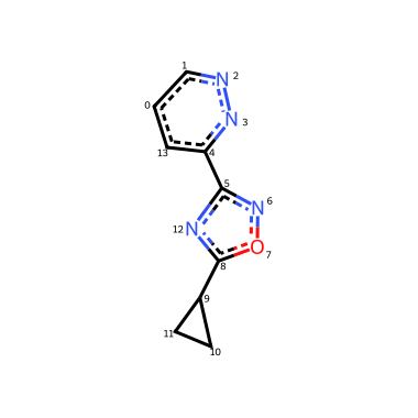 c1cnnc(-c2noc(C3CC3)n2)c1